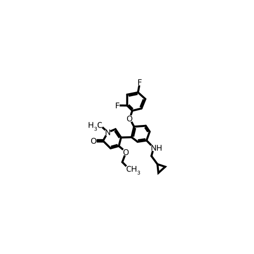 CCOc1cc(=O)n(C)cc1-c1cc(NCC2CC2)ccc1Oc1ccc(F)cc1F